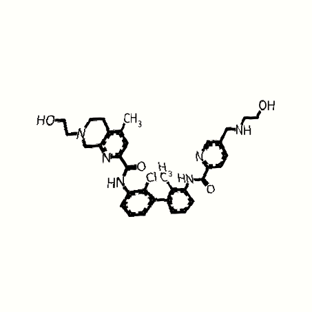 Cc1cc(C(=O)Nc2cccc(-c3cccc(NC(=O)c4ccc(CNCCO)cn4)c3C)c2Cl)nc2c1CCN(CCO)C2